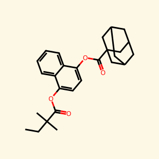 CCC(C)(C)C(=O)Oc1ccc(OC(=O)C23CC4CC(CC(C4)C2)C3)c2ccccc12